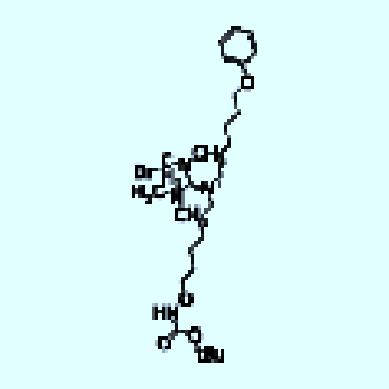 CN(C)C(N(C)C)=[N+](CCCCCCONC(=O)OC(C)(C)C)CCCCCCOc1ccccc1.[Br-]